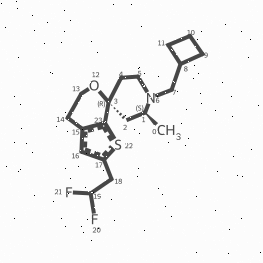 C[C@H]1C[C@@]2(CCN1CC1CCC1)OCCc1cc(CC(F)F)sc12